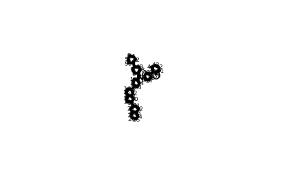 c1ccc(-c2ccc(N(c3ccc(-c4ccc5ccc(-c6ccc7ccccc7c6)cc5c4)cc3)c3ccc4oc5ccccc5c4c3)cc2)cc1